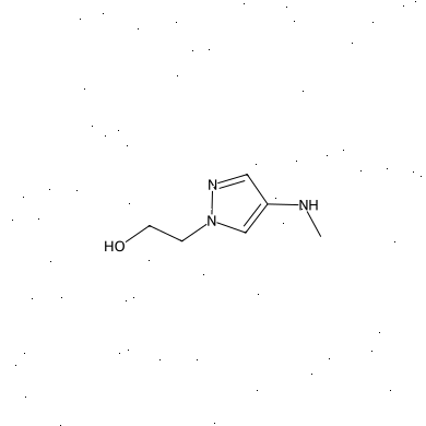 CNc1cnn(CCO)c1